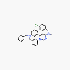 CN(Cc1ccc(Cl)cc1)c1cc(-c2cccc(N(Cc3ccccc3)Cc3ccccc3)c2)ncn1